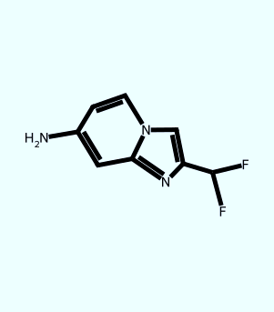 Nc1ccn2cc(C(F)F)nc2c1